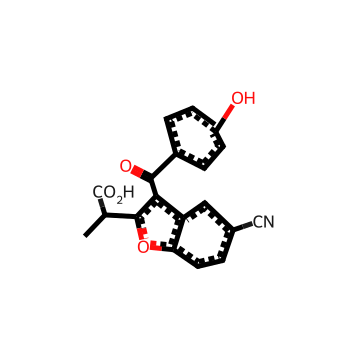 CC(C(=O)O)c1oc2ccc(C#N)cc2c1C(=O)c1ccc(O)cc1